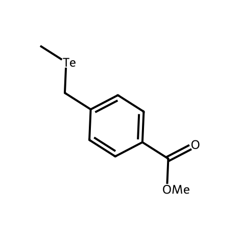 COC(=O)c1ccc(C[Te]C)cc1